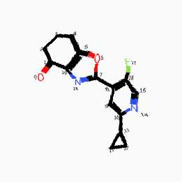 O=C1CCCc2oc(-c3cc(C4CC4)ncc3F)nc21